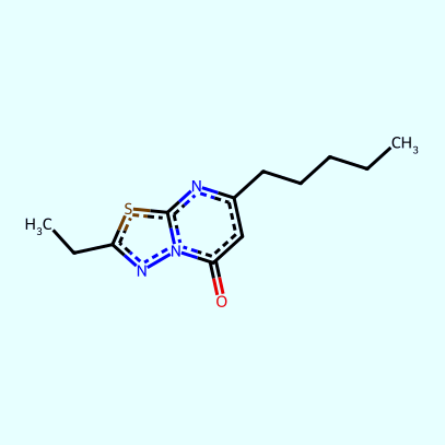 CCCCCc1cc(=O)n2nc(CC)sc2n1